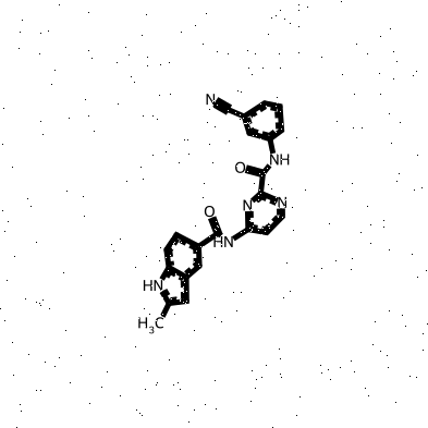 Cc1cc2cc(C(=O)Nc3ccnc(C(=O)Nc4cccc(C#N)c4)n3)ccc2[nH]1